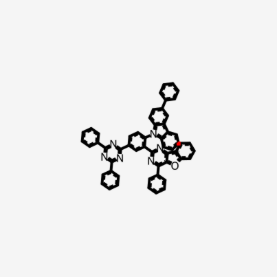 c1ccc(-c2ccc3c(c2)c2ccccc2n3-c2ccc(-c3nc(-c4ccccc4)nc(-c4ccccc4)n3)cc2-c2nc(-c3ccccc3)c3oc4ccccc4c3n2)cc1